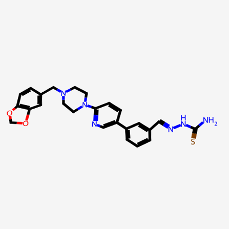 NC(=S)N/N=C/c1cccc(-c2ccc(N3CCN(Cc4ccc5c(c4)OCO5)CC3)nc2)c1